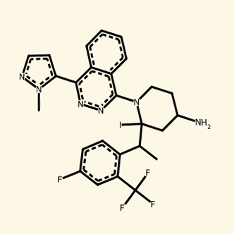 CC(c1ccc(F)cc1C(F)(F)F)C1(I)CC(N)CCN1c1nnc(-c2ccnn2C)c2ccccc12